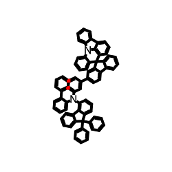 c1ccc(-c2ccccc2N(c2cccc(-c3ccc4c(c3)C3(c5ccccc5-4)c4ccccc4-n4c5ccccc5c5cccc3c54)c2)c2cccc3c2-c2ccccc2C3(c2ccccc2)c2ccccc2)cc1